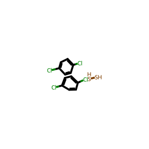 Clc1ccc(Cl)cc1.Clc1ccc(Cl)cc1.SS